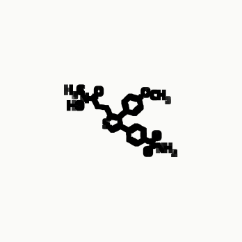 COc1ccc(-c2c(-c3ccc(S(N)(=O)=O)cc3)csc2CCC(=O)N(C)O)cc1